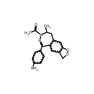 CC(=O)N1N=C(c2ccc(N)cc2)c2cc3c(cc2CC1C)OOC3